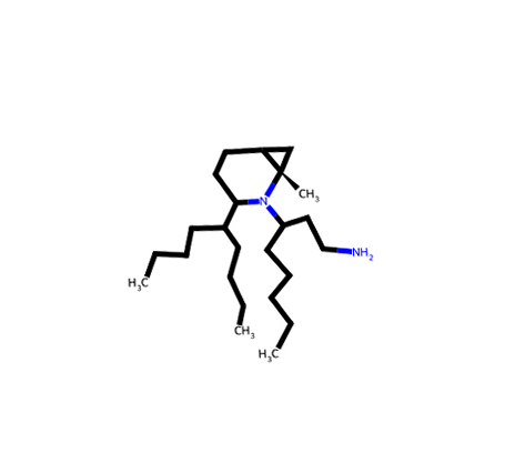 CCCCCC(CCN)N1C(C(CCCC)CCCC)CCC2C[C@@]21C